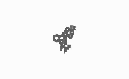 CCC(=O)On1cc(-c2ccccc2OCC(F)(F)C(F)F)[nH]c1=O